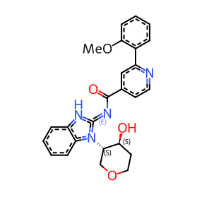 COc1ccccc1-c1cc(C(=O)/N=c2\[nH]c3ccccc3n2[C@H]2COCC[C@@H]2O)ccn1